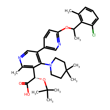 Cc1cccc(Cl)c1C(C)Oc1ccc(-c2cnc(C)c([C@H](OC(C)(C)C)C(=O)O)c2N2CCC(C)(C)CC2)cn1